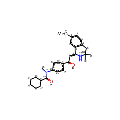 COc1ccc2c(c1)C(=CC(=O)c1ccc(N(C)C(=O)C3CCCCC3)cc1)NC(C)(C)C2